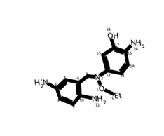 CCON(Cc1cc(N)ccc1N)c1ccc(N)c(O)c1